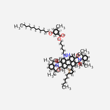 CCCCCCCCCCCCOc1cc(C)cc(C(=O)OCCCCCCNc2cc3c4c(ccc5c6c(-c7ccc(CCCCCC)s7)cc7c8c(ccc(c2c45)c86)C(=O)N(c2c(C(C)C)cccc2C(C)C)C7=O)C(=O)N(c2c(C(C)C)cccc2C(C)C)C3=O)c1